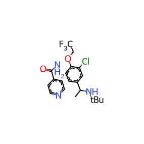 CC(NC(C)(C)C)c1ccc(OCC(F)(F)F)c(Cl)c1.NC(=O)c1ccncc1